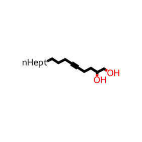 CCCCCCCCCCC#CCCC(O)CO